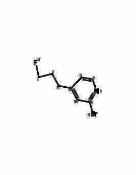 FCCCc1ccnc(Br)c1